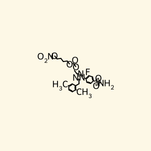 Cc1ccc(C)c(Cc2nc(COC(=O)OCCCCO[N+](=O)[O-])nn2-c2ccc(S(N)(=O)=O)cc2F)c1